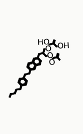 C=C(C)C(=O)OCC(COC(O)C(=C)CO)Cc1ccc2cc(CCc3ccc(CCCCC)cc3)ccc2c1